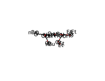 CCCCOC(=O)CCCCCCC(O)CN(CCCCC(=O)OCCN1CCN(CCSSCCCN(CC(O)CCCCCCC(=O)OCC(CC)CC)CC(O)CCCCCCC(=O)OCC(CC)CC)CC1)CC(O)CCCCCCC(=O)OCCCC